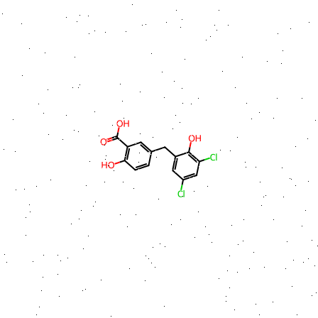 O=C(O)c1cc(Cc2cc(Cl)cc(Cl)c2O)ccc1O